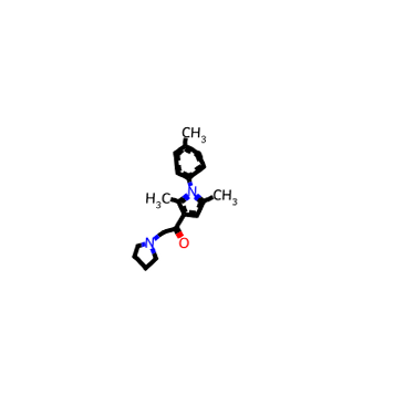 Cc1ccc(-n2c(C)cc(C(=O)CN3CCCC3)c2C)cc1